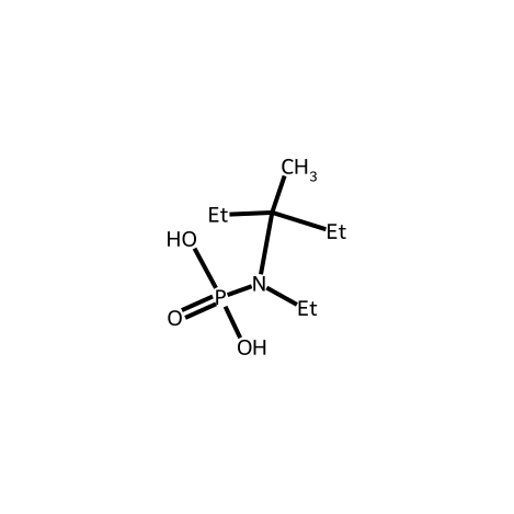 CCN(C(C)(CC)CC)P(=O)(O)O